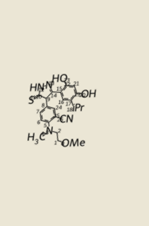 COCCN(C)c1ccc(C2C(=S)NN=C2c2cc(C(C)C)c(O)cc2O)cc1C#N